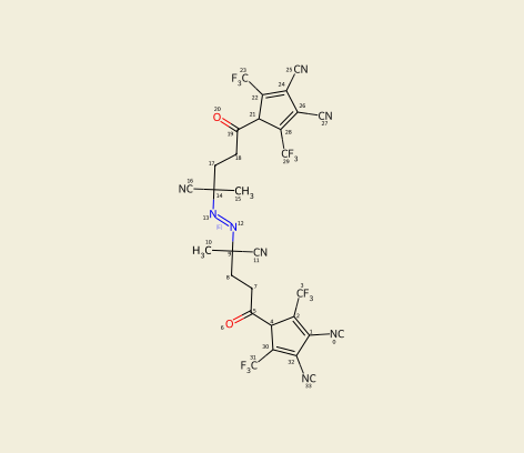 [C-]#[N+]C1=C(C(F)(F)F)C(C(=O)CCC(C)(C#N)/N=N/C(C)(C#N)CCC(=O)C2C(C(F)(F)F)=C(C#N)C(C#N)=C2C(F)(F)F)C(C(F)(F)F)=C1[N+]#[C-]